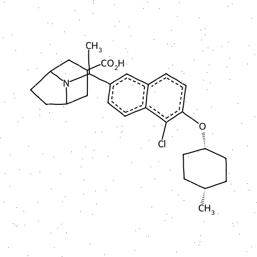 CC(c1ccc2c(Cl)c(O[C@H]3CC[C@@H](C)CC3)ccc2c1)N1C2CCC1CC(C(=O)O)C2